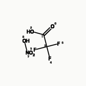 O=C(O)C(F)(F)F.O=[N+]([O-])O